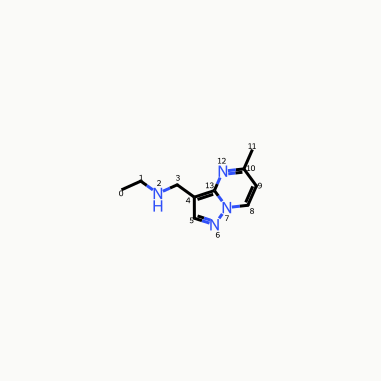 CCNCc1cnn2ccc(C)nc12